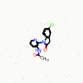 CC(=O)Nc1cccnc1N1C(=O)Cc2cc(Cl)ccc21